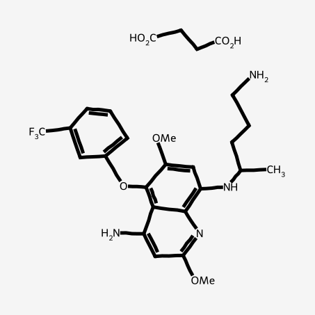 COc1cc(N)c2c(Oc3cccc(C(F)(F)F)c3)c(OC)cc(NC(C)CCCN)c2n1.O=C(O)CCC(=O)O